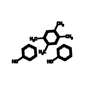 Cc1cc(C)c(C)cc1C.Oc1ccccc1.Oc1ccccc1